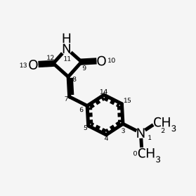 CN(C)c1ccc(C=C2C(=O)NC2=O)cc1